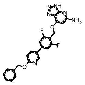 Nc1cc(OCc2c(F)cc(-c3ccc(OCc4ccccc4)nc3)cc2F)c2nn[nH]c2n1